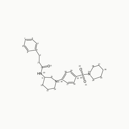 O=C(CCc1ccccc1)NC1CCCN(c2ccc(S(=O)(=O)N3CCCCC3)cc2)C1